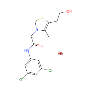 Br.CC1=C(CCO)SCN1CC(=O)Nc1cc(Cl)cc(Cl)c1